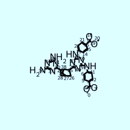 COC(=O)c1ccc(Nc2nc(Nc3ccc(C(=O)OC)cc3)nc(C3CC4CC(c5nc(N)nc(N)n5)C3C4)n2)cc1